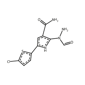 NC(=O)c1cc(-c2ccc(Cl)s2)[nH]c1N(N)C=O